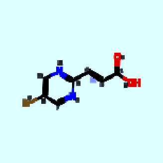 O=C(O)/C=C/c1ncc(Br)cn1